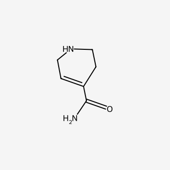 NC(=O)C1=CCNCC1